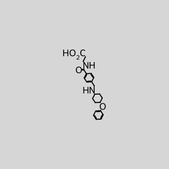 O=C(O)CCNC(=O)c1ccc(CNC2CCC(Oc3ccccc3)CC2)cc1